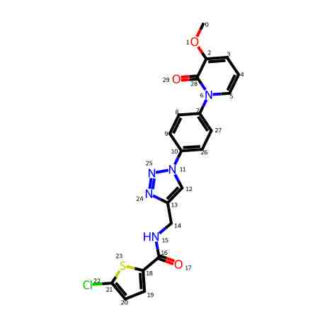 COc1cccn(-c2ccc(-n3cc(CNC(=O)c4ccc(Cl)s4)nn3)cc2)c1=O